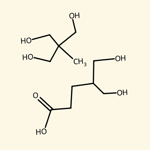 CC(CO)(CO)CO.O=C(O)CCC(CO)CO